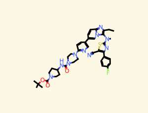 CCc1nc2ccc(-c3ccc(N4CCN(C(=O)NC5CCN(C(=O)OC(C)(C)C)CC5)CC4)nc3)cn2c1N(C)c1nc(-c2ccc(F)cc2)c(C#N)s1